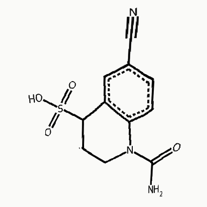 N#Cc1ccc2c(c1)C(S(=O)(=O)O)[CH]CN2C(N)=O